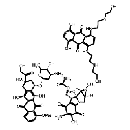 CO[C@@]12[C@H](COC(N)=O)C3=C(C(=O)C(C)=C(N)C3=O)N1C[C@H]1[C@@H]2N1C.COc1cccc2c1C(=O)c1c(O)c3c(c(O)c1C2=O)C[C@@](O)(C(=O)CO)C[C@@H]3O[C@H]1C[C@H](N)[C@@H](O)[C@H](C)O1.O=C1c2c(O)ccc(O)c2C(=O)c2c(NCCNCCO)ccc(NCCNCCO)c21